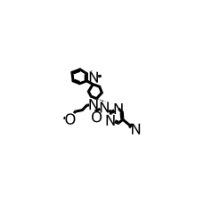 COCCCN1C(=O)N(c2ncc(C#N)cn2)C[C@]12CC[C@@](c1ccccc1)(N(C)C)CC2